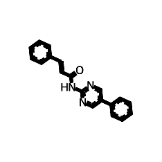 O=C(C=Cc1ccccc1)Nc1ncc(-c2ccccc2)cn1